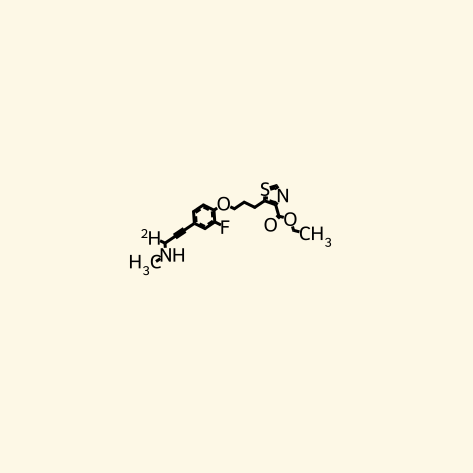 [2H]C(C#Cc1ccc(OCCCc2scnc2C(=O)OCC)c(F)c1)NC